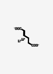 O=C([O-])C=CCCC(=O)[O-].[Li+].[Li+]